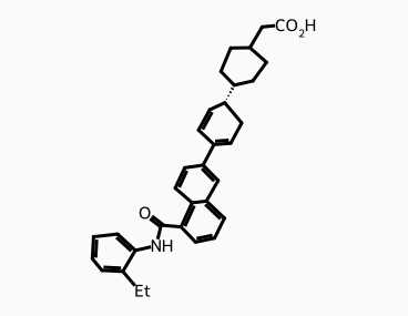 CCc1ccccc1NC(=O)c1cccc2cc(C3=CC[C@@H](C4CCC(CC(=O)O)CC4)C=C3)ccc12